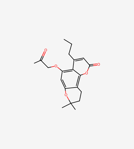 CCCc1cc(=O)oc2c3c(cc(OCC(C)=O)c12)OC(C)(C)CC3